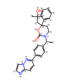 C[C@@H](c1ccc(-c2ccc3nccn3n2)cc1)N1CCC(CC(C)(C)O)(c2ccccc2)OC1=O